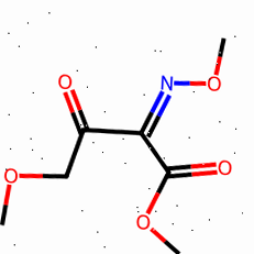 COCC(=O)/C(=N/OC)C(=O)OC